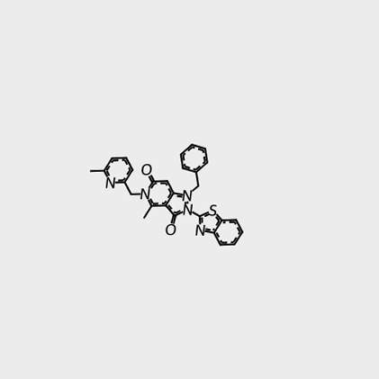 Cc1cccc(Cn2c(C)c3c(=O)n(-c4nc5ccccc5s4)n(Cc4ccccc4)c3cc2=O)n1